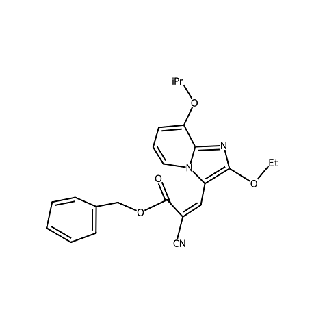 CCOc1nc2c(OC(C)C)cccn2c1/C=C(/C#N)C(=O)OCc1ccccc1